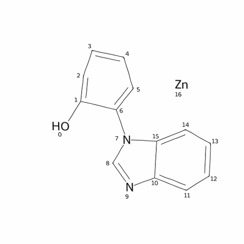 Oc1ccccc1-n1cnc2ccccc21.[Zn]